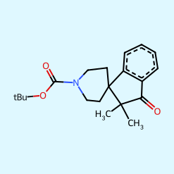 CC(C)(C)OC(=O)N1CCC2(CC1)c1ccccc1C(=O)C2(C)C